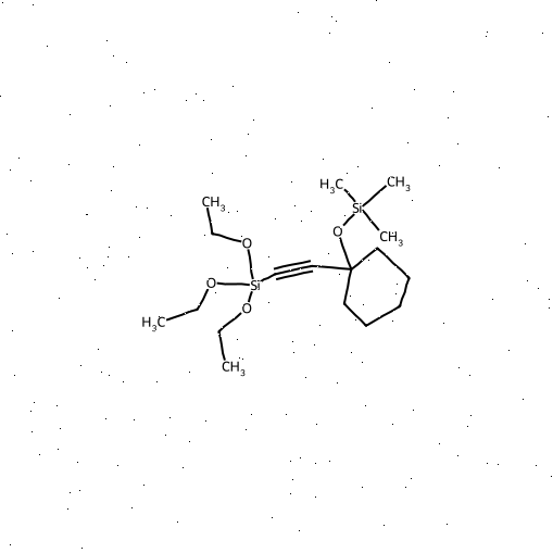 CCO[Si](C#CC1(O[Si](C)(C)C)CCCCC1)(OCC)OCC